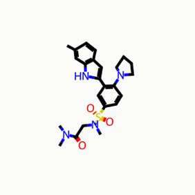 Cc1ccc2cc(-c3cc(S(=O)(=O)N(C)CC(=O)N(C)C)ccc3N3CCCC3)[nH]c2c1